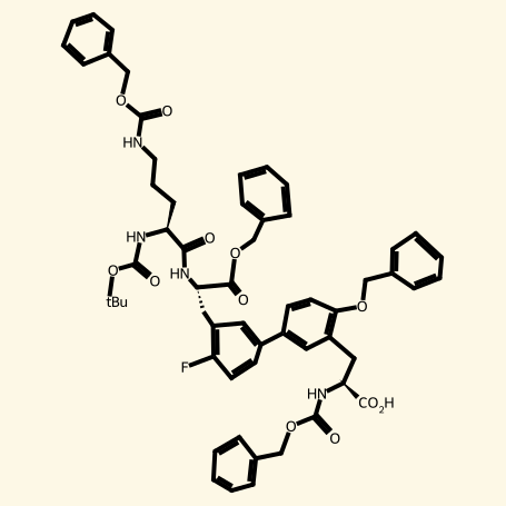 CC(C)(C)OC(=O)N[C@@H](CCCNC(=O)OCc1ccccc1)C(=O)N[C@@H](Cc1cc(-c2ccc(OCc3ccccc3)c(C[C@H](NC(=O)OCc3ccccc3)C(=O)O)c2)ccc1F)C(=O)OCc1ccccc1